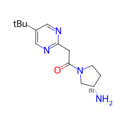 CC(C)(C)c1cnc(CC(=O)N2CC[C@H](N)C2)nc1